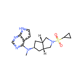 CN(c1ncnc2[nH]ccc12)[C@H]1C[C@@H]2CN(S(=O)(=O)C3CC3)C[C@@H]2C1